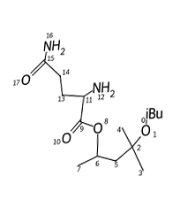 CCC(C)OC(C)(C)CC(C)OC(=O)C(N)CCC(N)=O